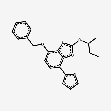 CCC(C)Oc1nc2c(OCc3ccccc3)ccc(-c3nccs3)c2o1